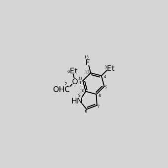 CCOC=O.CCc1cc2cc[nH]c2cc1F